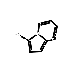 [O]c1ccc2ccccn12